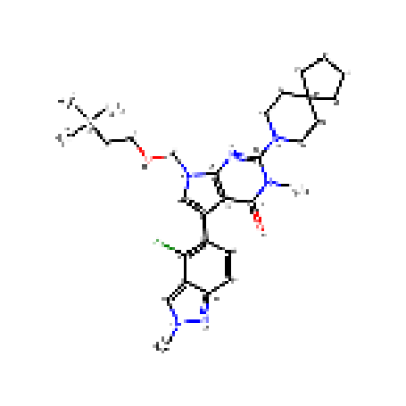 Cn1cc2c(Cl)c(-c3cn(COCC[Si](C)(C)C)c4nc(N5CCC6(CCCC6)CC5)n(C)c(=O)c34)ccc2n1